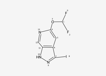 FC(F)Oc1cc2c(I)n[nH]c2cn1